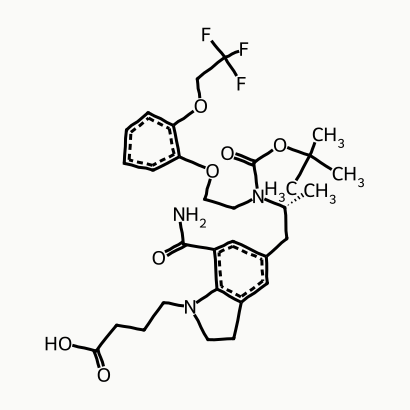 C[C@H](Cc1cc2c(c(C(N)=O)c1)N(CCCC(=O)O)CC2)N(CCOc1ccccc1OCC(F)(F)F)C(=O)OC(C)(C)C